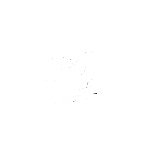 O=S(=O)(O)OC[C@@H]1C[C@H](OS(=O)(=O)O)[C@H](OC2C[C@@H](OS(=O)(=O)O)[C@H](OS(=O)(=O)O)[C@@H](COS(=O)(=O)O)O2)C1